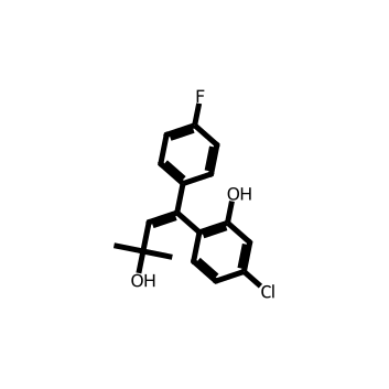 CC(C)(O)C=C(c1ccc(F)cc1)c1ccc(Cl)cc1O